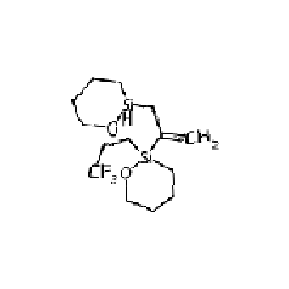 C=C(C[SiH]1CCCCO1)[Si]1(CCC(F)(F)F)CCCCO1